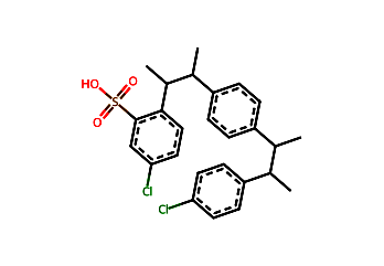 CC(c1ccc(Cl)cc1)C(C)c1ccc(C(C)C(C)c2ccc(Cl)cc2S(=O)(=O)O)cc1